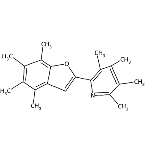 Cc1nc(-c2cc3c(C)c(C)c(C)c(C)c3o2)c(C)c(C)c1C